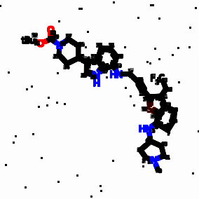 CN1CCC(Nc2cccc3c(CC(F)(F)F)c(C#CCNc4cccc5c(C6CCN(C(=O)OC(C)(C)C)CC6)c[nH]c45)sc23)CC1